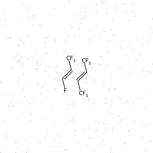 FC(F)(F)C=CC(F)(F)F.FC=CC(F)(F)F